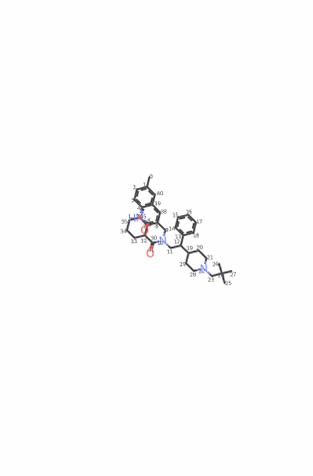 Cc1ccc2[nH]c(=O)c(CN(CC(c3ccccc3)C3CCN(CC(C)(C)C)CC3)C(=O)C3CCCCC3)cc2c1